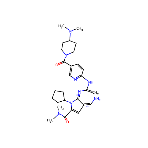 C=C(/N=C1\C(=C/N)C=C(C(=O)N(C)C)N1C1CCCC1)Nc1ccc(C(=O)N2CCC(N(C)C)CC2)cn1